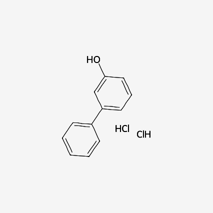 Cl.Cl.Oc1cccc(-c2ccccc2)c1